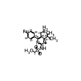 CCS(=O)(=O)Nc1nc(-c2ccc(F)cc2)c(CP)c(C(C)C)n1